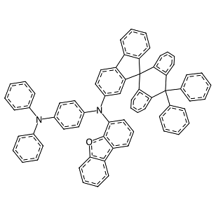 c1ccc(N(c2ccccc2)c2ccc(N(c3ccc4c(c3)C3(c5ccccc5-4)c4ccccc4C(c4ccccc4)(c4ccccc4)c4ccccc43)c3cccc4c3oc3ccccc34)cc2)cc1